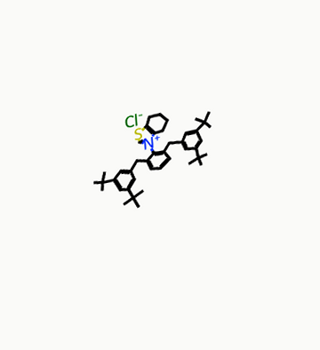 CC(C)(C)c1cc(Cc2cccc(Cc3cc(C(C)(C)C)cc(C(C)(C)C)c3)c2-[n+]2csc3c2CCCC3)cc(C(C)(C)C)c1.[Cl-]